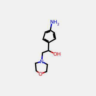 Nc1ccc(C(O)CN2CCOCC2)cc1